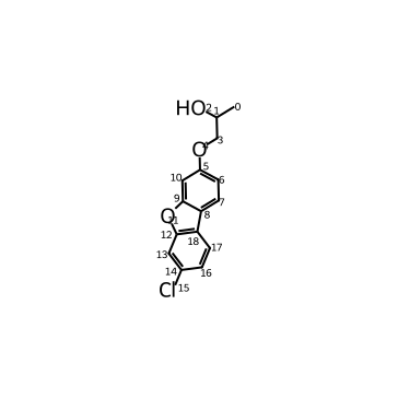 CC(O)COc1ccc2c(c1)oc1cc(Cl)ccc12